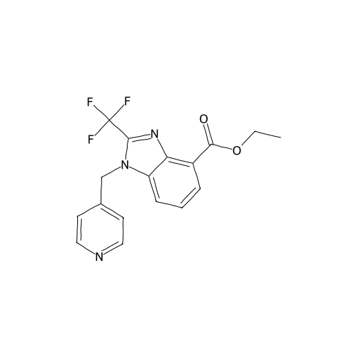 CCOC(=O)c1cccc2c1nc(C(F)(F)F)n2Cc1ccncc1